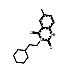 O=c1[nH]c2ccc(I)cc2c(=O)n1CCC1CCCCC1